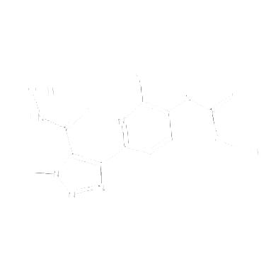 Cn1nnc(-c2ccc(NC(=O)OC(C)(C)C)c(Cl)n2)c1C(=O)NC(=O)O